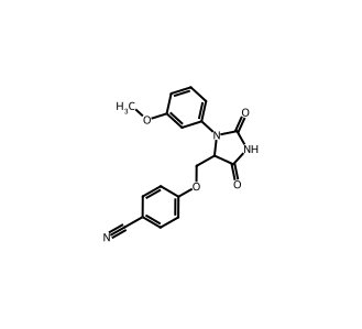 COc1cccc(N2C(=O)NC(=O)C2COc2ccc(C#N)cc2)c1